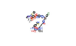 Cc1ncsc1-c1ccc([C@H](C)NC(=O)[C@@H]2C[C@@H](O)CN2C(=O)[C@@H](NCCCCCCCC(=O)N2CCN(C[C@]3(C)CCC(c4ccc(Cl)cc4)=C(CN4CCN(c5ccc(C(=O)NS(=O)(=O)c6ccc(N[C@H](CCN7CC8CCC7C8)CSc7ccccc7)c(S(=O)(=O)C(F)(F)F)c6)cc5)CC4)C3)CC2)C(C)(C)C)cc1